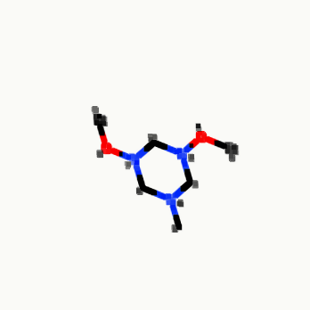 CCON1CN(C)CN(OCC)C1